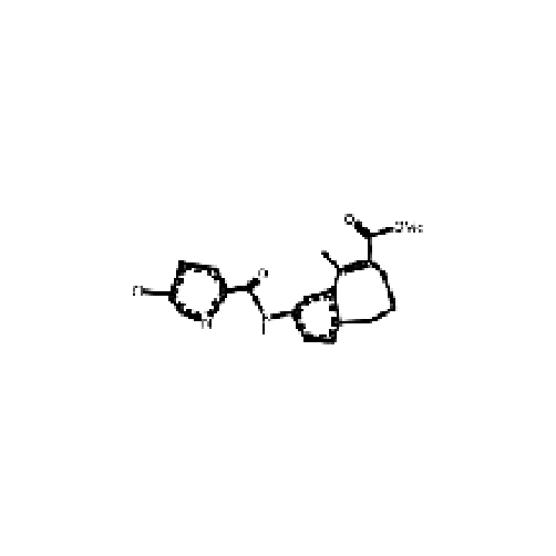 COC(=O)C1=C(C)c2cc(NC(=O)c3ccc(Cl)cn3)ccc2CCC1